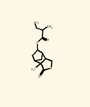 CCC(C)C(=O)OC1CC2CC1C1COC(=O)C21C